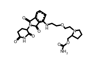 NC(=O)OCC1CCCN1CCOCCNc1cccc2c1C(=O)N(C1CCC(=O)NC1=O)C2=O